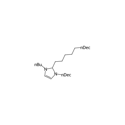 CCCCCCCCCCCCCCCC1N(CCCC)C=CN1CCCCCCCCCC